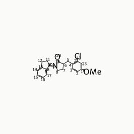 COc1ccc(CC2CCN([C@H]3CCc4ccccc43)C2=O)c(Cl)c1